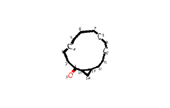 O=C1CCCCCCCCCCCC2CC12